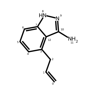 C=CCc1cccc2[nH]nc(N)c12